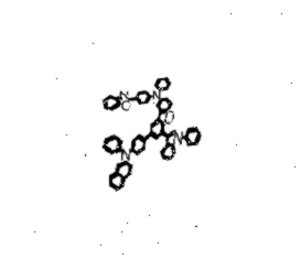 c1ccc(N(c2ccc(-c3cc(-c4cn(-c5ccccc5)c5ccccc45)c4oc5ccc(N(c6ccccc6)c6ccc(-c7nc8ccccc8o7)cc6)cc5c4c3)cc2)c2ccc3ccccc3c2)cc1